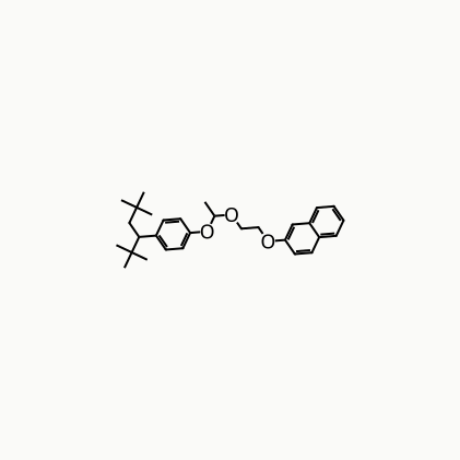 CC(OCCOc1ccc2ccccc2c1)Oc1ccc(C(CC(C)(C)C)C(C)(C)C)cc1